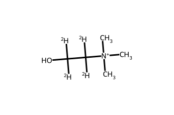 [2H]C([2H])(O)C([2H])([2H])[N+](C)(C)C